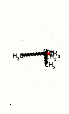 CCCCCCCCCCCCCCCCCCC(CCCC)(CC(C)CCCCCC)C(=O)O